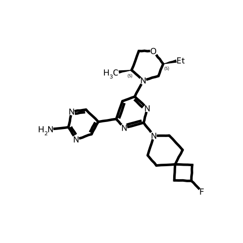 CC[C@H]1CN(c2cc(-c3cnc(N)nc3)nc(N3CCC4(CC3)CC(F)C4)n2)[C@@H](C)CO1